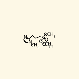 CO[Si](CCCc1nccn1C)(OC)OC